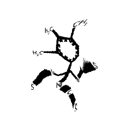 Cc1ccc(C(N=C=S)(N=C=S)N=C=S)c(C)c1C